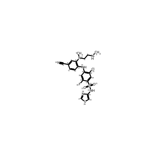 CNCCN(C)c1cc(C#N)ccc1Nc1cc(F)c(S(=O)(=O)Nc2cscn2)cc1Cl